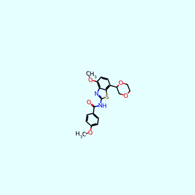 COc1ccc(C(=O)Nc2nc3c(OC)ccc(C4COCCO4)c3s2)cc1